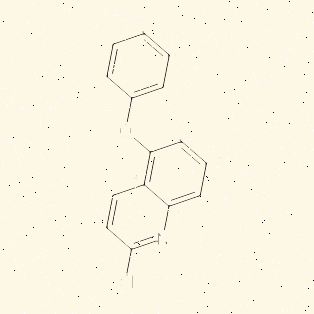 Clc1ccc2c(Oc3ccccc3)cccc2n1